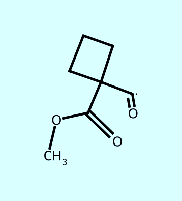 COC(=O)C1([C]=O)CCC1